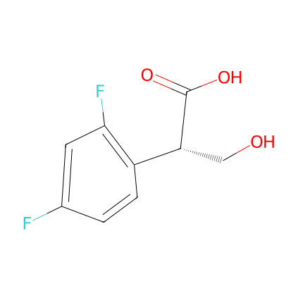 O=C(O)[C@H](CO)c1ccc(F)cc1F